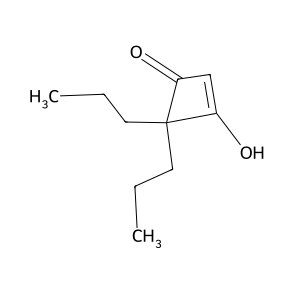 CCCC1(CCC)C(=O)C=C1O